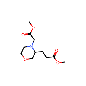 COC(=O)CCC1COCCN1CC(=O)OC